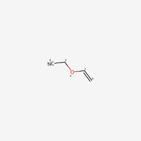 C=COCC#N